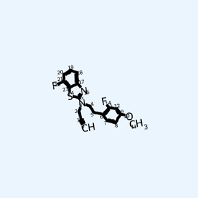 C#CCN(CCc1ccc(OC)cc1F)c1nc2cccc(F)c2s1